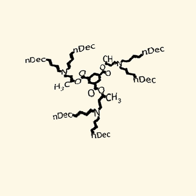 CCCCCCCCCCCCCCN(CCCCCCCCCCCCCC)CCC(C)OC(=O)C1CC(C(=O)OC(C)CCN(CCCCCCCCCCCCCC)CCCCCCCCCCCCCC)CC(C(=O)OC(C)CCN(CCCCCCCCCCCCCC)CCCCCCCCCCCCCC)C1